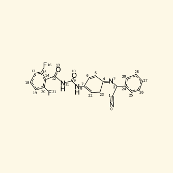 N#CC(N=C1C=CC(NC(=O)NC(=O)c2c(F)cccc2F)=CC1)c1ccccc1